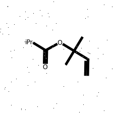 C=CC(C)(C)OC(=O)[C](C)C